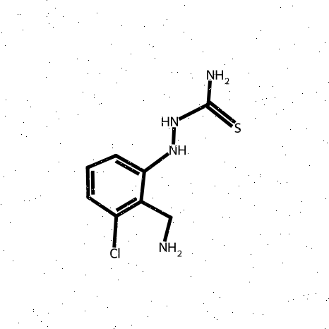 NCc1c(Cl)cccc1NNC(N)=S